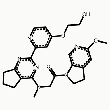 COc1cc2c(cn1)N(C(=O)CN(C)c1nc(-c3cc(OCCO)ccn3)nc3c1CCC3)CC2